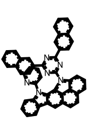 c1ccc(-n2c3ccccc3c3cc4ccc5cccc6c5c4c(c32)n6-c2nc(-c3ccc4ccccc4c3)nc(-c3ccc4ccccc4c3)n2)nc1